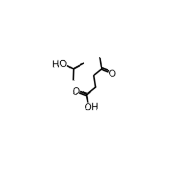 CC(=O)CCC(=O)O.CC(C)O